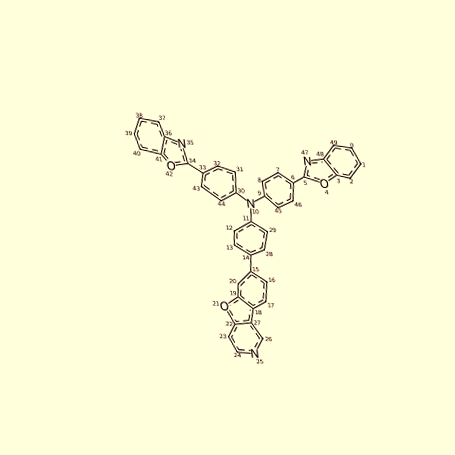 c1ccc2oc(-c3ccc(N(c4ccc(-c5ccc6c(c5)oc5ccncc56)cc4)c4ccc(-c5nc6ccccc6o5)cc4)cc3)nc2c1